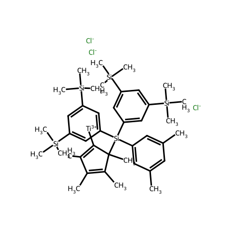 CC1=C(C)C(C)([Si](c2cc(C)cc(C)c2)(c2cc([Si](C)(C)C)cc([Si](C)(C)C)c2)c2cc([Si](C)(C)C)cc([Si](C)(C)C)c2)[C]([Ti+3])=C1C.[Cl-].[Cl-].[Cl-]